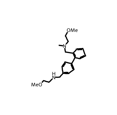 COCCNCc1ccc(-c2ccc[c]c2CN(C)CCOC)cc1